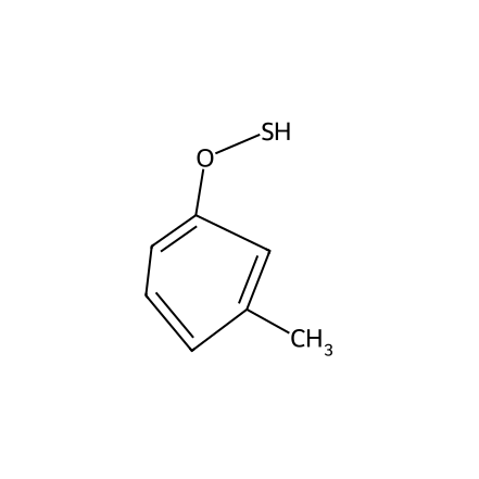 Cc1cccc(OS)c1